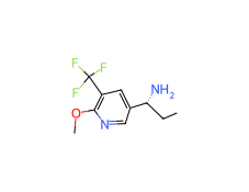 CC[C@@H](N)c1cnc(OC)c(C(F)(F)F)c1